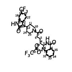 O=C1NC(CCCC(=O)N2CCC(n3c(=O)[nH]c4cc(C(F)(F)F)ccc43)CC2)N(OC(=O)C(F)(F)F)c2ccccc21